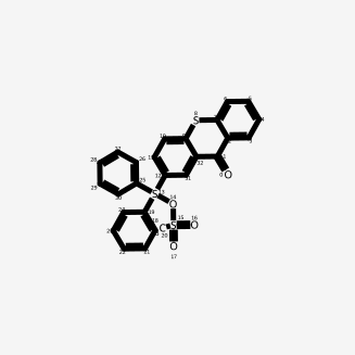 O=c1c2ccccc2sc2ccc(S(OS(=O)(=O)C(F)(F)F)(c3ccccc3)c3ccccc3)cc12